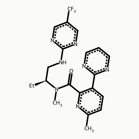 CC[C@@H](CNc1ncc(C(F)(F)F)cn1)N(C)C(=O)c1nc(C)ccc1-c1ncccn1